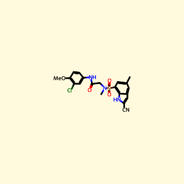 COc1ccc(NC(=O)CN(C)S(=O)(=O)c2cc(C)cc3cc(C#N)[nH]c23)cc1Cl